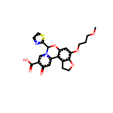 COCCCOc1cc2c(c3c1OCC3)-c1cc(=O)c(C(=O)O)cn1C(c1nccs1)O2